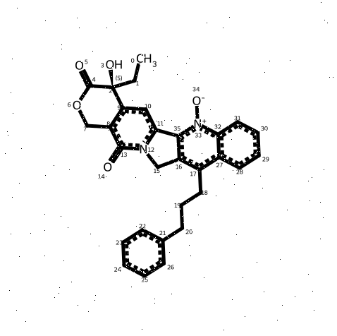 CC[C@@]1(O)C(=O)OCc2c1cc1n(c2=O)Cc2c(CCCc3ccccc3)c3ccccc3[n+]([O-])c2-1